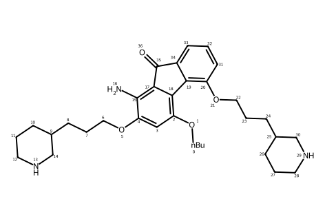 CCCCOc1cc(OCCCC2CCCNC2)c(N)c2c1-c1c(OCCCC3CCCNC3)cccc1C2=O